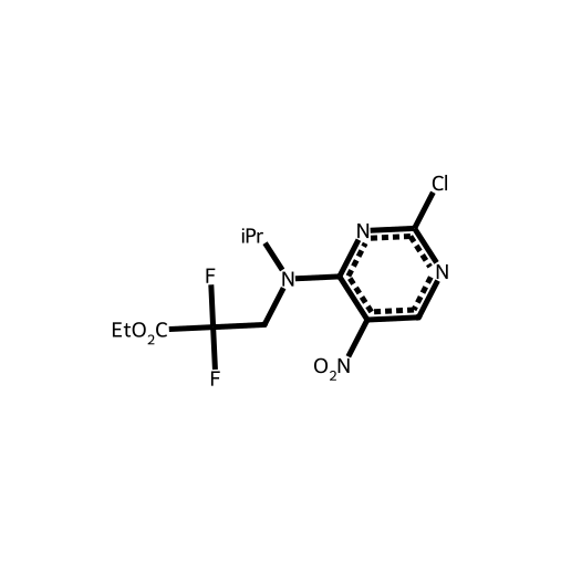 CCOC(=O)C(F)(F)CN(c1nc(Cl)ncc1[N+](=O)[O-])C(C)C